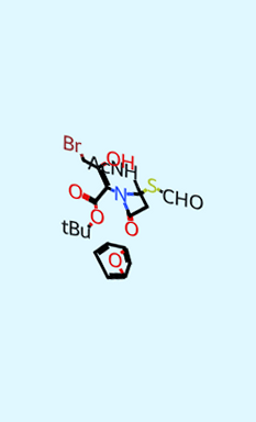 CC(=O)NC1(SC=O)CC(=O)N1C(C(=O)OC(C)(C)C)=C(O)CBr.c1cc2cc(c1)O2